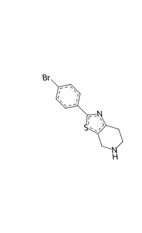 Brc1ccc(-c2nc3c(s2)CNCC3)cc1